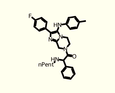 CCCCCNC(C(=O)N1CCn2c(nc(-c3ccc(F)cc3)c2Nc2ccc(C)cc2)C1)c1ccccc1